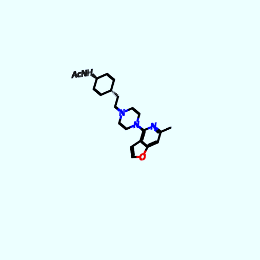 CC(=O)N[C@H]1CC[C@H](CCN2CCN(c3nc(C)cc4occc34)CC2)CC1